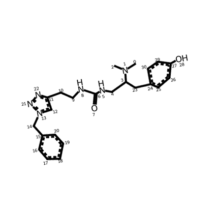 CN(C)C(CNC(=O)NCCc1cn(Cc2ccccc2)nn1)Cc1ccc(O)cc1